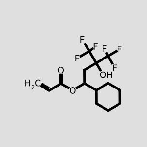 C=CC(=O)OC(CC(O)(C(F)(F)F)C(F)(F)F)C1CCCCC1